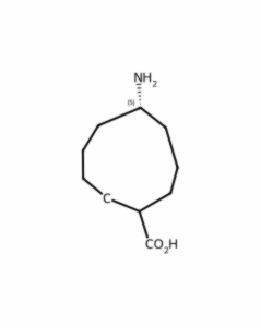 N[C@H]1CCCCC(C(=O)O)CCC1